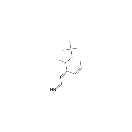 C/C=C\C(=C/C=N)C(C)CC(C)(C)C